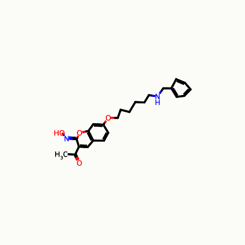 CC(=O)c1cc2ccc(OCCCCCCNCc3ccccc3)cc2oc1=NO